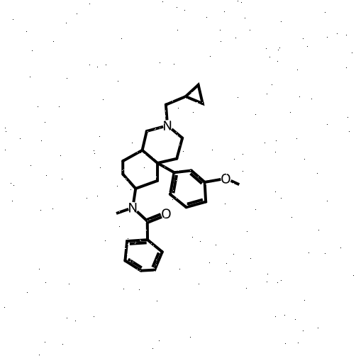 COc1cccc(C23CCN(CC4CC4)CC2CCC(N(C)C(=O)c2ccccc2)C3)c1